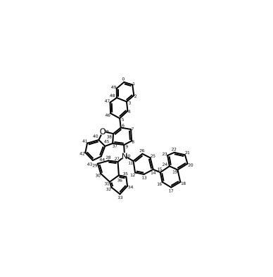 c1ccc2cc(-c3ccc(N(c4ccc(-c5cccc6ccccc56)cc4)c4cccc5ccccc45)c4c3oc3ccccc34)ccc2c1